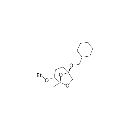 CCO[C@@H]1CC[C@]2(OCC3CCCCC3)COC1(C)O2